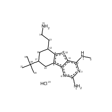 CNc1nc(N)nc2c3c(sc12)C(CCN)CC(C(C)(C)C)C3.Cl